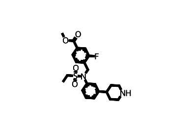 CCS(=O)(=O)N(Cc1ccc(C(=O)OC)cc1F)c1cccc(C2CCNCC2)c1